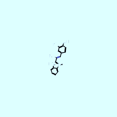 C[n+]1c(/C(C#N)=C/c2ccc(O)c(O)c2)[nH]c2ccccc21